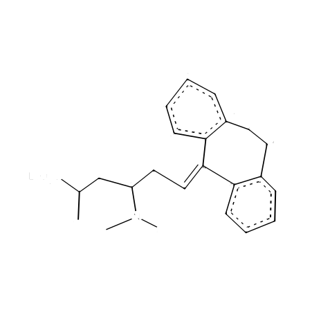 CCOC(=O)C(C)CC(CC=C1c2ccccc2CCc2ccccc21)N(C)C